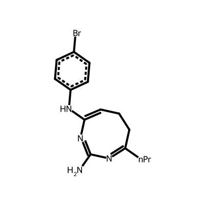 CCC/C1=N/C(N)=N\C(Nc2ccc(Br)cc2)=C/CC1